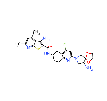 Cc1cc(C)c2c(N)c(C(=O)NC3CCc4nc(N5CC(N)C6(C5)OCCO6)cc(F)c4C3)sc2n1